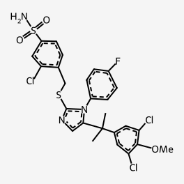 COc1c(Cl)cc(C(C)(C)c2cnc(SCc3ccc(S(N)(=O)=O)cc3Cl)n2-c2ccc(F)cc2)cc1Cl